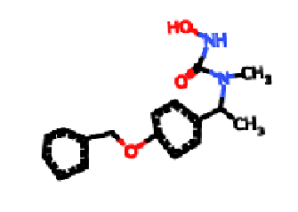 CC(c1ccc(OCc2ccccc2)cc1)N(C)C(=O)NO